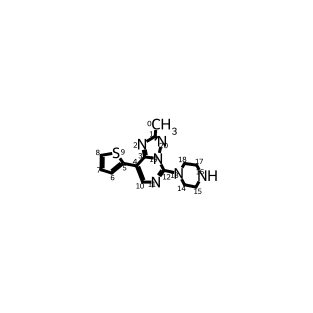 Cc1nc2c(-c3cccs3)cnc(N3CCNCC3)n2n1